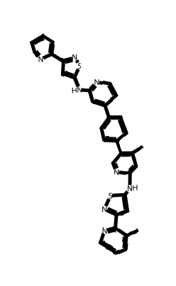 Cc1cc(Nc2cc(-c3ncccc3C)ns2)ncc1-c1ccc(-c2ccnc(Nc3cc(-c4ccccn4)ns3)c2)cc1